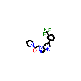 O=C(Cn1ncc2ncc(-c3cccc(C(F)(F)F)c3)cc21)N1CCCCC1